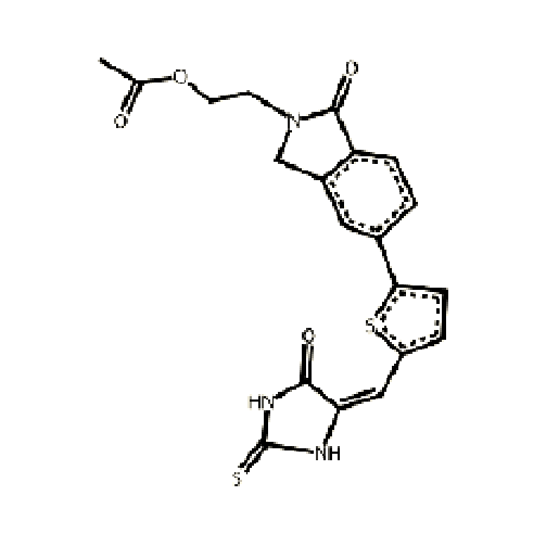 CC(=O)OCCN1Cc2cc(-c3ccc(C=C4NC(=S)NC4=O)s3)ccc2C1=O